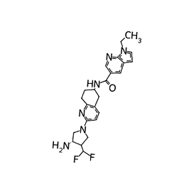 CCn1ccc2cc(C(=O)N[C@H]3CCc4nc(N5CC(C(F)F)[C@H](N)C5)ccc4C3)cnc21